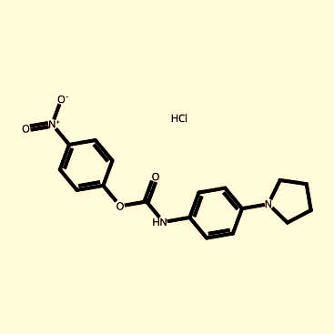 Cl.O=C(Nc1ccc(N2CCCC2)cc1)Oc1ccc([N+](=O)[O-])cc1